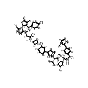 Cc1sc2c(c1C)C(c1ccc(Cl)cc1)=N[C@@H](CC(=O)N[C@H]1C[C@@H](Oc3cccc(-c4cnn([C@H](C(=O)N5C[C@H](C)C[C@H]5C(=O)N[C@@H](C)c5ccc(-c6nccn6C)cc5)C(C)C)c4)c3)C1)c1nnc(C)n1-2